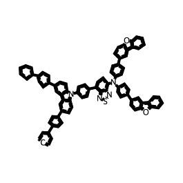 c1ccc(-c2ccc(-c3ccc4c(c3)c3cc(-c5ccc(-c6ccccc6)cc5)ccc3n4-c3ccc(-c4ccc(N(c5ccc(-c6ccc7oc8ccccc8c7c6)cc5)c5ccc(-c6ccc7oc8ccccc8c7c6)cc5)c5nsnc45)cc3)cc2)cc1